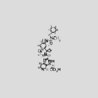 CN(Cc1ccccc1)C(=O)Nc1ccc2c(c1)C(=O)N(CC(=O)N[C@H](CC(=O)O)c1cccnc1)CCO2